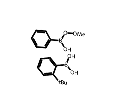 CC(C)(C)c1ccccc1B(O)O.COOB(O)c1ccccc1